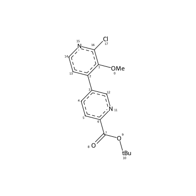 COc1c(-c2ccc(C(=O)OC(C)(C)C)nc2)ccnc1Cl